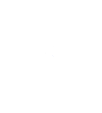 CC(C)(C)OC(=O)N1CC2(CCO2)C[C@H]1CO